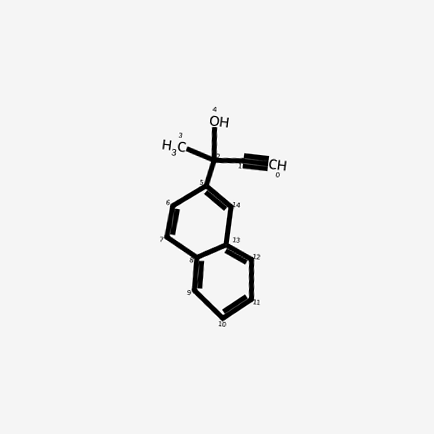 C#CC(C)(O)c1ccc2ccccc2c1